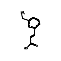 NCc1cccc(/C=C/C(=O)O)c1